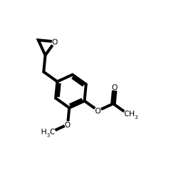 COc1cc(CC2CO2)ccc1OC(C)=O